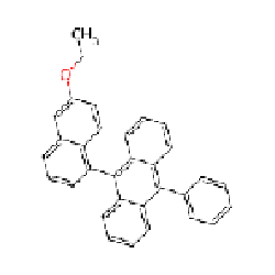 CCOc1ccc2c(-c3c4ccccc4c(-c4ccccc4)c4ccccc34)cccc2c1